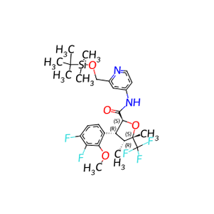 COc1c([C@@H]2[C@@H](C(=O)Nc3ccnc(CO[Si](C)(C)C(C)(C)C)c3)O[C@](C)(C(F)(F)F)[C@@H]2C)ccc(F)c1F